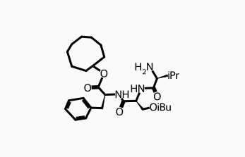 CC(C)COC[C@H](NC(=O)[C@@H](N)C(C)C)C(=O)N[C@@H](Cc1ccccc1)C(=O)OC1CCCCCCCC1